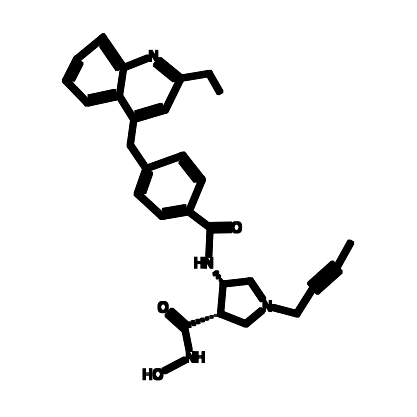 CC#CCN1C[C@H](C(=O)NO)[C@H](NC(=O)c2ccc(Cc3cc(CC)nc4ccccc34)cc2)C1